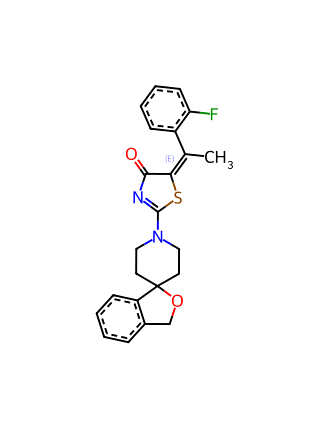 C/C(=C1\SC(N2CCC3(CC2)OCc2ccccc23)=NC1=O)c1ccccc1F